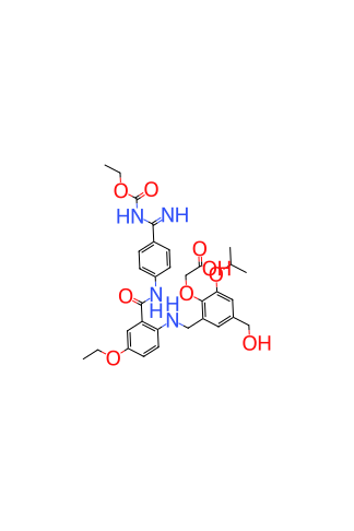 CCOC(=O)NC(=N)c1ccc(NC(=O)c2cc(OCC)ccc2NCc2cc(CO)cc(OC(C)C)c2OCC(=O)O)cc1